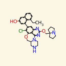 CCc1cccc2cc(O)cc(-c3cc4nc(OCC56CCCN5CCC6)nc5c4c(c3Cl)OCC3CNCCN53)c12